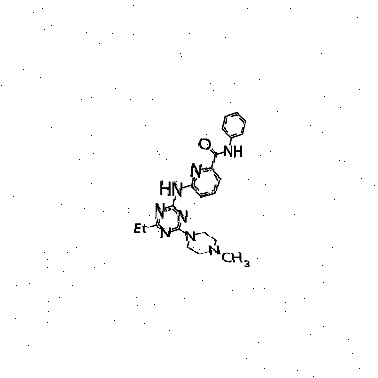 CCc1nc(Nc2cccc(C(=O)Nc3ccccc3)n2)nc(N2CCN(C)CC2)n1